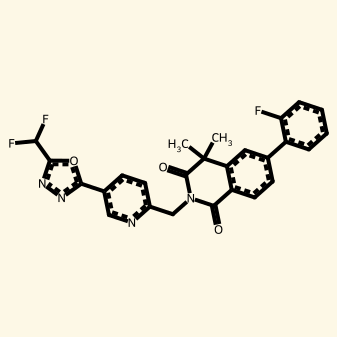 CC1(C)C(=O)N(Cc2ccc(-c3nnc(C(F)F)o3)cn2)C(=O)c2ccc(-c3ccccc3F)cc21